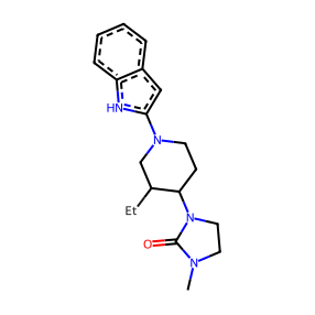 CCC1CN(c2cc3ccccc3[nH]2)CCC1N1CCN(C)C1=O